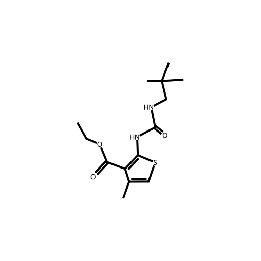 CCOC(=O)c1c(C)csc1NC(=O)NCC(C)(C)C